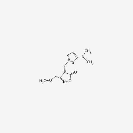 COCC1=NOC(=O)C1=Cc1ccc(N(C)C)s1